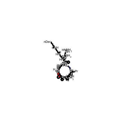 CCCCCCCCCCCCCCCC(=O)NCCCCCC(=O)NCCCC[C@H](NC(=O)C[C@H](Cc1ccccc1)NC(=O)[C@@H]1CCC/C=C/CCC[C@H](NC(=O)CC(C)C)C(=O)NC([C@@H](C)O)C(=O)N[C@@H](Cc2cnc[nH]2)C(=O)N[C@@H](C(c2ccccc2)c2ccccc2)C(=O)N2CCC[C@H]2C(=O)N[C@@H](C)C(=O)NC([C@@H](C)CC)C(=O)N1)C(=O)N[C@H](CCCNC(=N)N)C(N)=O